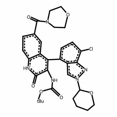 CC(C)(C)OC(=O)Nc1c(-c2ccc(Cl)c3nn(C4CCCCO4)cc23)c2cc(C(=O)N3CCOCC3)ccc2[nH]c1=O